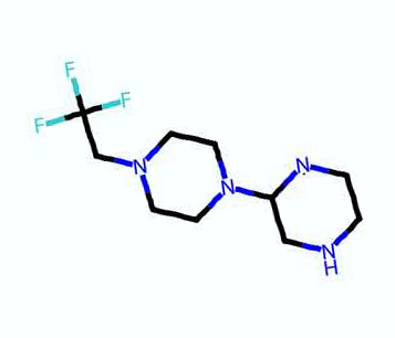 FC(F)(F)CN1CCN(C2CNCC[N]2)CC1